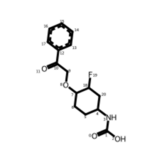 O=C(O)NC1CCC(OCC(=O)c2ccccc2)C(F)C1